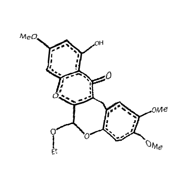 CCOC1Oc2cc(OC)c(OC)cc2-c2c1oc1cc(OC)cc(O)c1c2=O